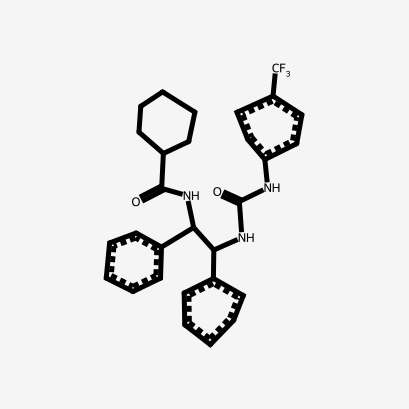 O=C(Nc1ccc(C(F)(F)F)cc1)NC(c1ccccc1)C(NC(=O)C1CCCCC1)c1ccccc1